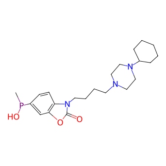 CP(O)c1ccc2c(c1)oc(=O)n2CCCCN1CCN(C2CCCCC2)CC1